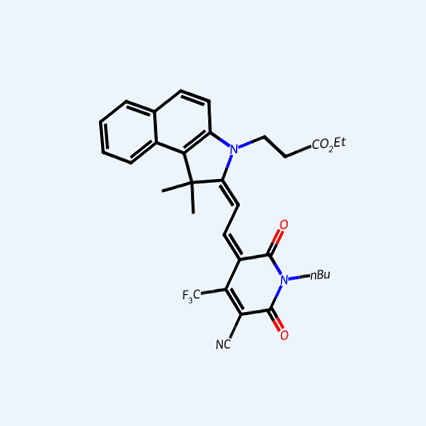 CCCCN1C(=O)C(C#N)=C(C(F)(F)F)/C(=C/C=C2/N(CCC(=O)OCC)c3ccc4ccccc4c3C2(C)C)C1=O